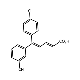 N#Cc1cccc(C(=CC=CC(=O)O)c2ccc(Cl)cc2)c1